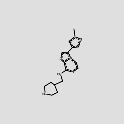 Cn1cc(-c2cnc3c(NCC4CCNCC4)nccn23)cn1